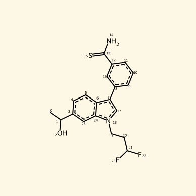 CC(O)c1ccc2c(-c3cccc(C(N)=S)c3)cn(CCC(F)F)c2c1